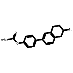 CCCCCCC(=O)Oc1ccc(-c2ccc3c(c2)CCC(CC)C3)cc1